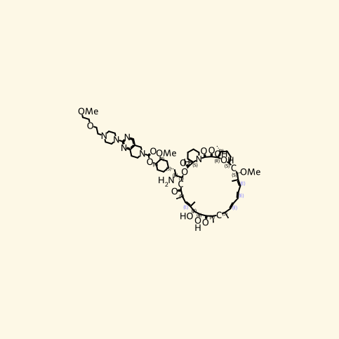 COCCOCCN1CCN(c2ncc3c(n2)CCN(C(=O)O[C@@H]2CC[C@@H](C[C@@H](N)[C@@H]4CC(=O)[C@H](C)/C=C(\C)[C@@H](O)[C@@H](O)C(=O)[C@H](C)C[C@H](C)/C=C/C=C/C=C(\C)[C@@H](OC)C[C@@H]5CC[C@@H](C)[C@@](O)(O5)C(=O)C(=O)N5CCCC[C@H]5C(=O)O4)C[C@H]2OC)C3)CC1